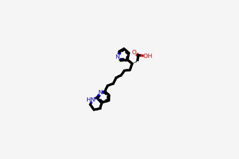 O=C(O)C[C@H](CCCCCCc1ccc2c(n1)NCCC2)c1cccnc1